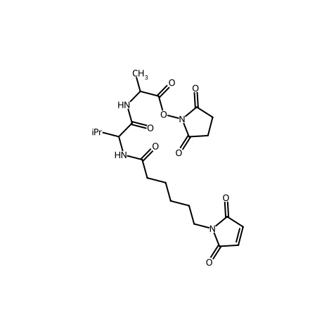 CC(NC(=O)C(NC(=O)CCCCCN1C(=O)C=CC1=O)C(C)C)C(=O)ON1C(=O)CCC1=O